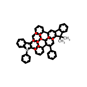 CC1(C)c2ccccc2-c2cc(-c3ccccc3N(c3ccc4c(c3)c3ccccc3n4-c3ccccc3)c3cccc(-c4ccccc4)c3-c3ccccc3-c3ccccc3)ccc21